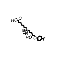 CS(=O)(=O)N(C/C=C/C(O)COc1ccc(F)cc1)CCCCCCC(=O)O